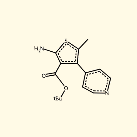 Cc1sc(N)c(C(=O)OC(C)(C)C)c1-c1ccncc1